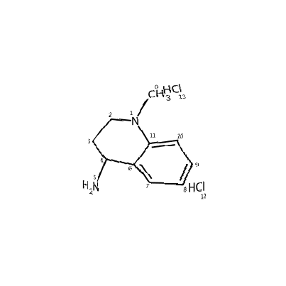 CN1CCC(N)c2ccccc21.Cl.Cl